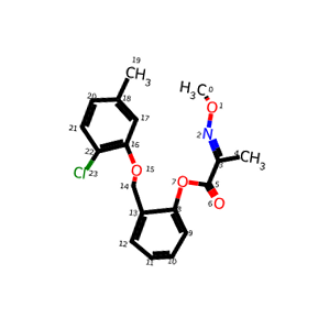 CON=C(C)C(=O)Oc1ccccc1COc1cc(C)ccc1Cl